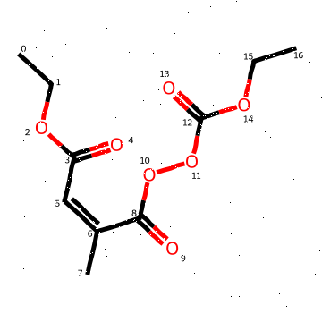 CCOC(=O)C=C(C)C(=O)OOC(=O)OCC